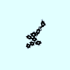 c1ccc(-c2ccc(N(c3ccccc3)c3ccc(-c4cccc5c4oc4cc6oc(-c7ccccc7)nc6cc45)c(-c4ccccc4)c3)cc2)cc1